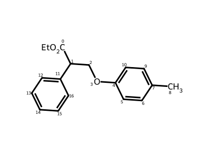 CCOC(=O)C(COc1ccc(C)cc1)c1ccccc1